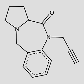 C#CCN1C(=O)C2CCCN2Cc2ccccc21